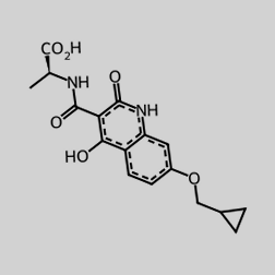 C[C@H](NC(=O)c1c(O)c2ccc(OCC3CC3)cc2[nH]c1=O)C(=O)O